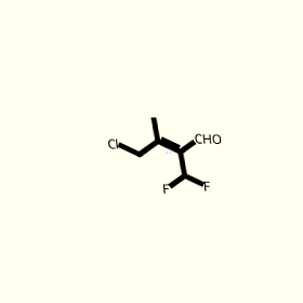 C/C(CCl)=C(\C=O)C(F)F